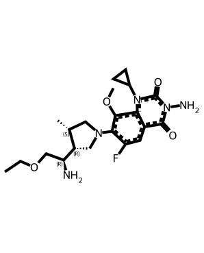 CCOC[C@H](N)[C@H]1CN(c2c(F)cc3c(=O)n(N)c(=O)n(C4CC4)c3c2OC)C[C@H]1C